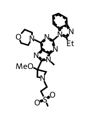 CCc1nc2ccccc2n1-c1nc(N2CCOCC2)c2nc(C3(OC)CN(CCS(C)(=O)=O)C3)n(C)c2n1